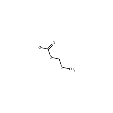 CSCOC([O])=O